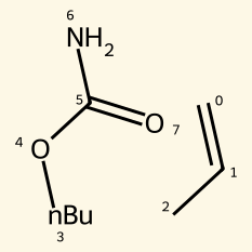 C=CC.CCCCOC(N)=O